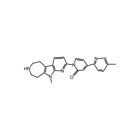 Cc1ccc(-c2ccn(-c3ccc4c5c(n(C)c4n3)CCNCC5)c(=O)c2)nc1